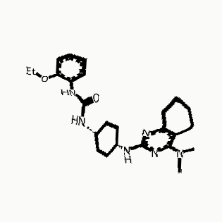 CCOc1ccccc1NC(=O)N[C@H]1CC[C@@H](Nc2nc3c(c(N(C)C)n2)CCCC3)CC1